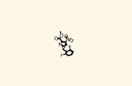 COC(=O)c1nn(Cc2c(F)cccc2F)cc1[N+](=O)[O-]